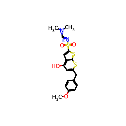 COc1ccc(CC2=CC(O)=C3C=C(S(=O)(=O)/N=C/N(C)C)SC3S2)cc1